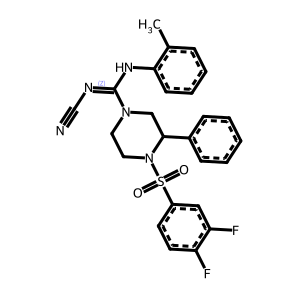 Cc1ccccc1N/C(=N/C#N)N1CCN(S(=O)(=O)c2ccc(F)c(F)c2)C(c2ccccc2)C1